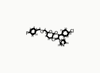 Fc1ccc(COCC2CCCC(OC(c3ccc(Cl)cc3)C(Cl)n3ccnc3)O2)cc1